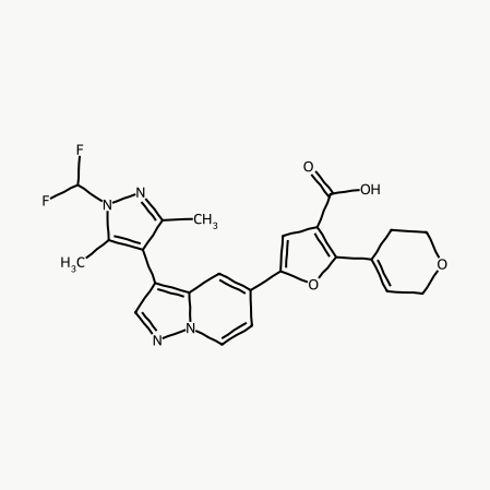 Cc1nn(C(F)F)c(C)c1-c1cnn2ccc(-c3cc(C(=O)O)c(C4=CCOCC4)o3)cc12